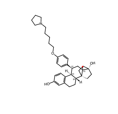 C[C@]12C[C@H](c3ccc(OCCCCCN4CCCC4)cc3)[C@@H]3c4ccc(O)cc4CC[C@H]3[C@]13CC[C@]2(O)CC3